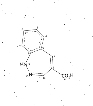 O=C(O)C1=Cc2ccccc2NN=C1